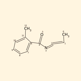 CC=C=NC(=O)c1ccccc1C